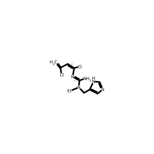 C=C(Cl)/C=C(Cl)\N=C(/N)N(CC)Cc1cnc[nH]1